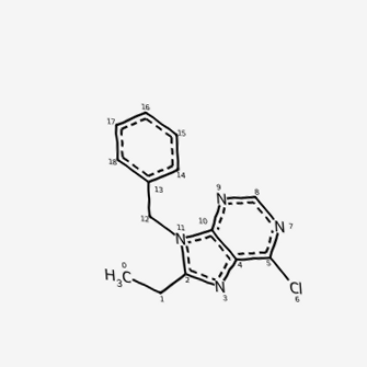 CCc1nc2c(Cl)ncnc2n1Cc1ccccc1